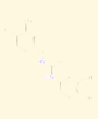 CCCc1cc(CNC(=O)Nc2ccc(O)c(C)c2)ccc1C(C)=O